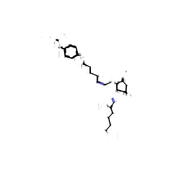 CCCCC[C@H](O)/C=C/[C@H]1[C@H](O)CC(=O)[C@@H]1C/C=C\CCCC(=O)Oc1ccc(NC(C)=O)cc1